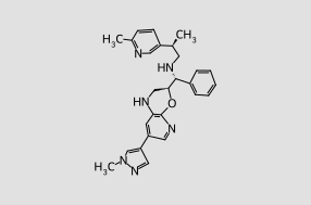 Cc1ccc([C@@H](C)CN[C@H](c2ccccc2)[C@@H]2CNc3cc(-c4cnn(C)c4)cnc3O2)cn1